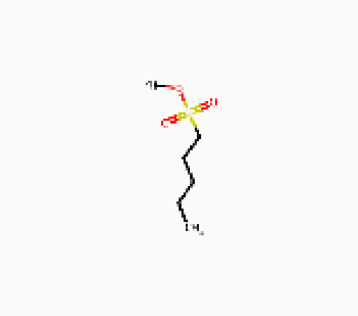 [2H]OS(=O)(=O)CCCCC